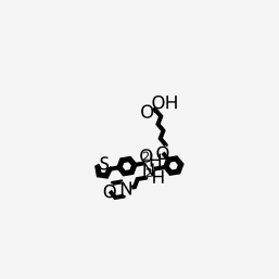 [2H]C([2H])(c1ccccc1OCCCCCC(=O)O)N(CCCN1CCOCC1)C(=O)c1ccc(-c2cccs2)cc1